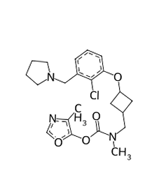 Cc1ncoc1OC(=O)N(C)CC1CC(Oc2cccc(CN3CCCC3)c2Cl)C1